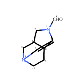 O=CN1CC2CN3C=C1C2CC3